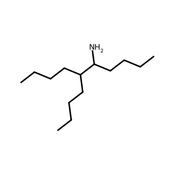 CCCCC(N)C(CCCC)CCCC